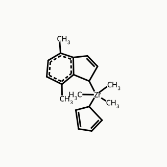 Cc1ccc(C)c2c1C=C[CH]2[Zr]([CH3])([CH3])([CH3])[CH]1C=CC=C1